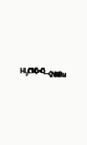 CN1CC(OCC2CN(C(C)(C)C)C2)C1